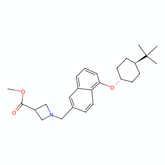 COC(=O)C1CN(Cc2ccc3c(O[C@H]4CC[C@H](C(C)(C)C)CC4)cccc3c2)C1